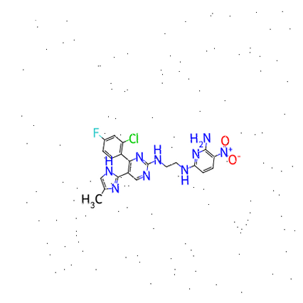 Cc1c[nH]c(-c2cnc(NCCNc3ccc([N+](=O)[O-])c(N)n3)nc2-c2ccc(F)cc2Cl)n1